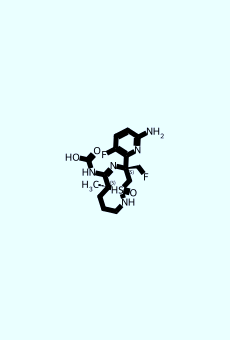 C[C@@]12CCCN[SH]1(=O)C[C@@](CF)(c1nc(N)ccc1F)N=C2NC(=O)O